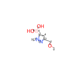 COCc1cc(B(O)O)n(C)n1